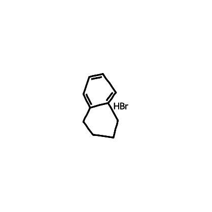 Br.c1ccc2c(c1)CCCC2